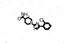 NC(=O)C1CCN(c2nc(-c3ccccc3Cl)cs2)CC1